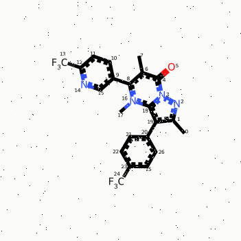 Cc1nn2c(=O)c(C)c(-c3ccc(C(F)(F)F)nc3)n(C)c2c1-c1ccc(C(F)(F)F)cc1